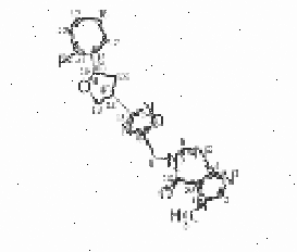 Cn1cnc2ncn(Cc3nc([C@@H]4CO[C@@H](c5ccccc5F)C4)no3)c(=O)c21